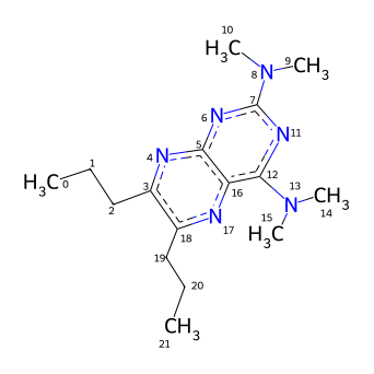 CCCc1nc2nc(N(C)C)nc(N(C)C)c2nc1CCC